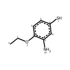 CCOc1ccc(S)cc1N